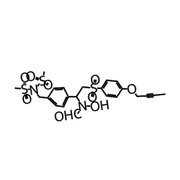 CC#CCOc1ccc(S(=O)(=O)CC(c2ccc(CN(S(C)(=O)=O)S(C)(=O)=O)cc2)N(O)C=O)cc1